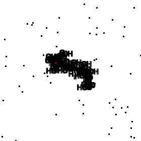 COc1cc([N+](=O)[O-])c(S(=O)(=O)O)cc1N=Nc1c(S(=O)(=O)O)cc2c(S(=O)(=O)O)cc(N=Nc3ccc4c(O)c(N=Nc5ccc(/N=N\c6c(C(=O)O)nn(-c7ccc(S(=O)(=O)O)cc7)c6O)c(S(=O)(=O)O)c5)c(S(=O)(=O)O)cc4c3S(=O)(=O)O)c(N)c2c1O